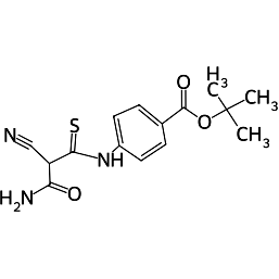 CC(C)(C)OC(=O)c1ccc(NC(=S)C(C#N)C(N)=O)cc1